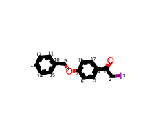 O=C(CI)c1ccc(OCc2ccccc2)cc1